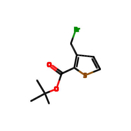 CC(C)(C)OC(=O)c1sccc1CBr